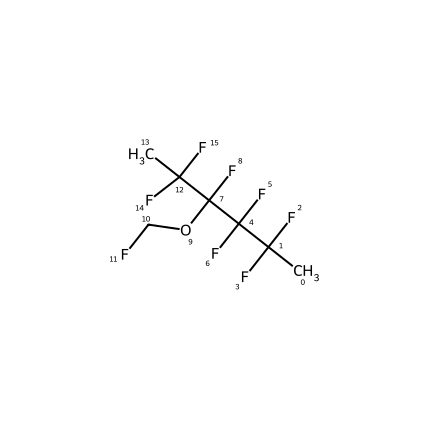 CC(F)(F)C(F)(F)C(F)(OCF)C(C)(F)F